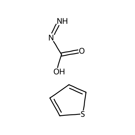 N=NC(=O)O.c1ccsc1